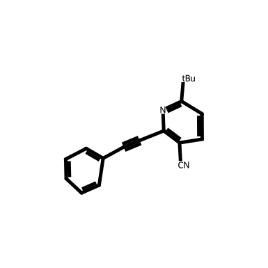 CC(C)(C)c1ccc(C#N)c(C#Cc2ccccc2)n1